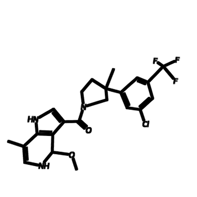 COC1NC=C(C)c2[nH]cc(C(=O)N3CCC(C)(c4cc(Cl)cc(C(F)(F)F)c4)C3)c21